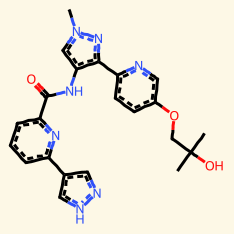 Cn1cc(NC(=O)c2cccc(-c3cn[nH]c3)n2)c(-c2ccc(OCC(C)(C)O)cn2)n1